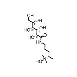 CC(CCCNC(=O)[C@H](O)[C@@H](O)[C@H](O)[C@H](O)CO)[N+](C)(C)O